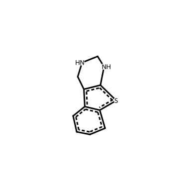 c1ccc2c3c(sc2c1)NCNC3